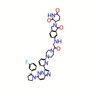 O=C1CCC(N2Cc3ccc(NCC(=O)N4CCN(c5cccc(-c6cnc7ccc(N8CCC[C@@H]8c8cccc(F)c8)nn67)n5)CC4)cc3C2=O)C(=O)N1